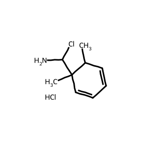 CC1C=CC=CC1(C)C(N)Cl.Cl